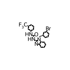 O=C(Nc1cccc(C(F)(F)F)c1)Nc1nc2ccccc2n1Cc1cccc(Br)c1